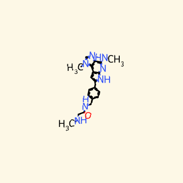 CNCC(=O)NCc1ccc(-c2cc3c(nc(NC)c4ncn(C)c43)[nH]2)cc1